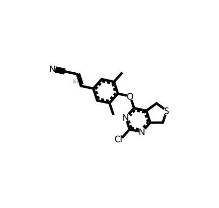 Cc1cc(/C=C/C#N)cc(C)c1Oc1nc(Cl)nc2c1CSC2